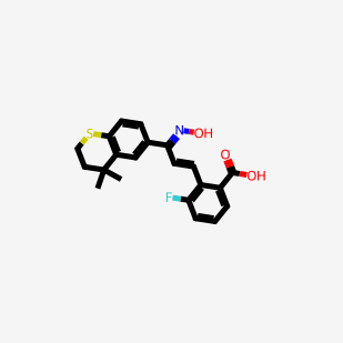 CC1(C)CCSc2ccc(C(C=Cc3c(F)cccc3C(=O)O)=NO)cc21